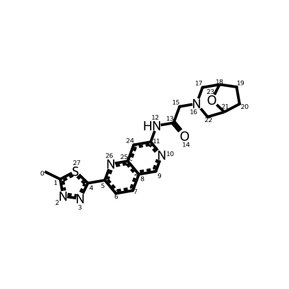 Cc1nnc(-c2ccc3cnc(NC(=O)CN4CC5CCC(C4)O5)cc3n2)s1